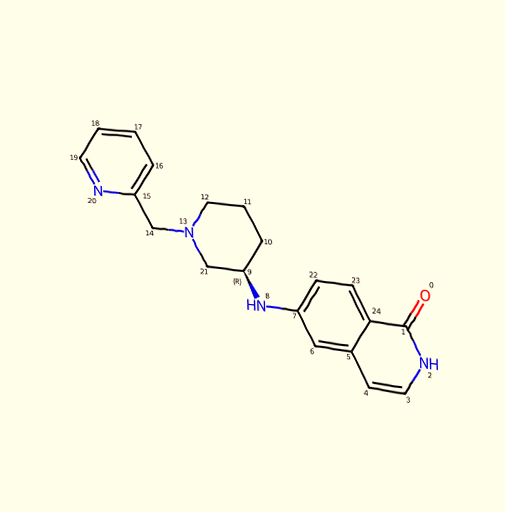 O=c1[nH]ccc2cc(N[C@@H]3CCCN(Cc4ccccn4)C3)ccc12